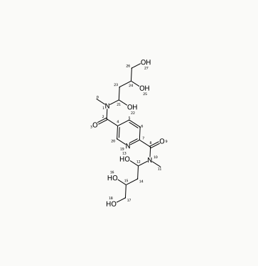 CN(C(=O)c1ccc(C(=O)N(C)C(O)CC(O)CO)nc1)C(O)CC(O)CO